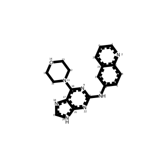 c1cnc2ccc(Nc3nc(N4CCOCC4)c4nc[nH]c4n3)cc2c1